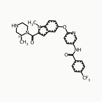 C[C@H]1CNCCN1C(=O)c1cc2cc(Oc3ccc(NC(=O)c4ccc(C(F)(F)F)cc4)cn3)ccc2n1C